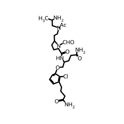 CC(=O)N(CCC1CCC(C(=O)NC(CCC(N)=O)COc2cccc(CCCC(N)=O)c2Cl)N1C=O)CC(C)N